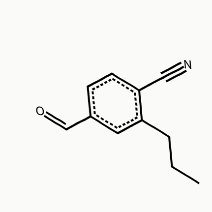 CCCc1cc(C=O)ccc1C#N